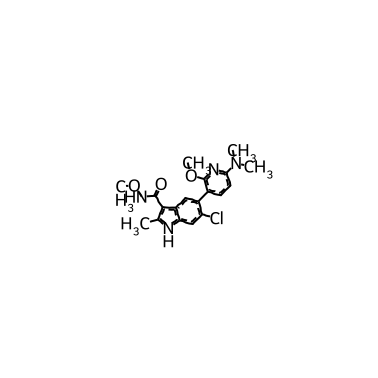 CONC(=O)c1c(C)[nH]c2cc(Cl)c(-c3ccc(N(C)C)nc3OC)cc12